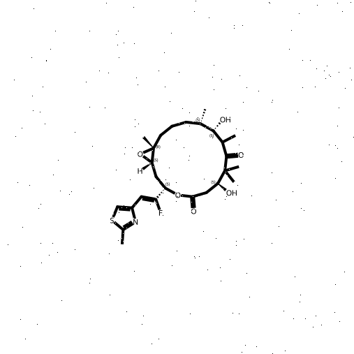 Cc1nc(C=C(F)[C@@H]2C[C@@H]3O[C@]3(C)CCC[C@H](C)[C@H](O)C(C)C(=O)C(C)(C)[C@@H](O)CC(=O)O2)cs1